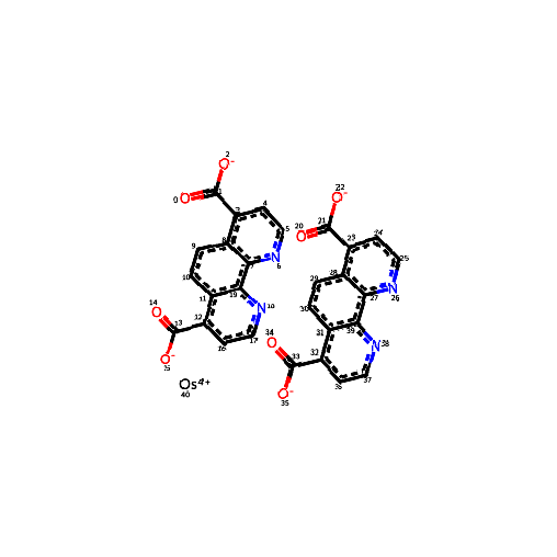 O=C([O-])c1ccnc2c1ccc1c(C(=O)[O-])ccnc12.O=C([O-])c1ccnc2c1ccc1c(C(=O)[O-])ccnc12.[Os+4]